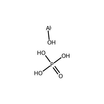 O=P(O)(O)O.[OH][Al]